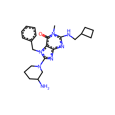 Cn1c(NCC2CCC2)nc2nc(N3CCCC(N)C3)n(Cc3ccccc3)c2c1=O